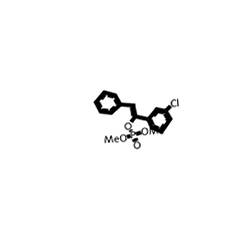 COP(=O)(OC)OC(=Cc1ccccc1)c1cccc(Cl)c1